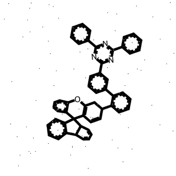 C1=CC2c3ccccc3C3(C4=C(CC(c5ccccc5-c5cccc(-c6nc(-c7ccccc7)nc(-c7ccccc7)n6)c5)C=C4)Oc4ccccc43)C2C=C1